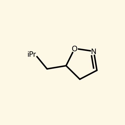 CC(C)CC1CC=NO1